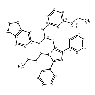 CCCCn1c(-c2ccccc2)nc(-c2cccc(F)c2)c1CN(Cc1cccc(OCC)c1)Cc1ccc2c(c1)OCO2